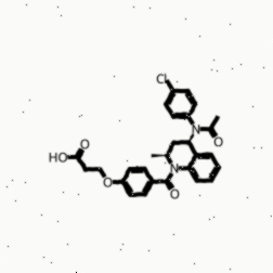 CC(=O)N(c1ccc(Cl)cc1)[C@@H]1C[C@H](C)N(C(=O)c2ccc(OCCC(=O)O)cc2)c2ccccc21